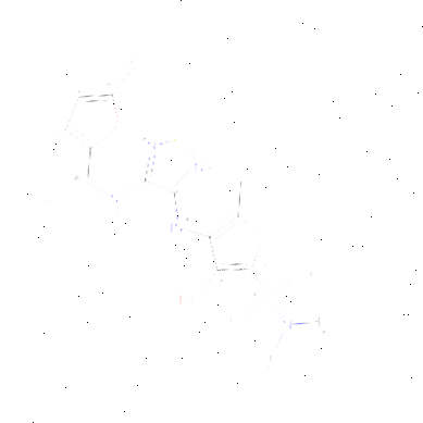 CC[C@@H](Nc1nsnc1Nc1c(C)sc(S(=O)(=O)N(CC)CC)c1O)c1ccc(C)o1